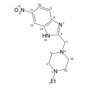 CCN1CCN(Cc2nc3ccc([N+](=O)[O-])cc3[nH]2)CC1